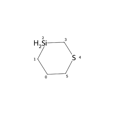 C1C[SiH2]CSC1